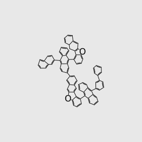 C1=CC2=Cc3oc4cccc(-c5c6ccccc6c(-c6ccc7ccccc7c6)c6ccc(-c7ccc8cc9c(cc8c7)oc7cccc(-c8c%10ccccc%10c(-c%10cccc(-c%11ccccc%11)c%10)c%10ccccc8%10)c79)cc56)c4c3CC2C=C1